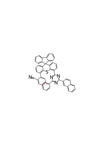 N#Cc1ccccc1-c1cccc2c1Sc1c(-c3nc(-c4ccccc4)nc(-c4ccc5ccccc5c4)n3)cccc1C21c2ccccc2-c2ccccc21